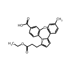 CCOC(=O)CCc1ccc(-c2ccc(C)cc2)n1-c1ccc(C(=O)O)cc1C